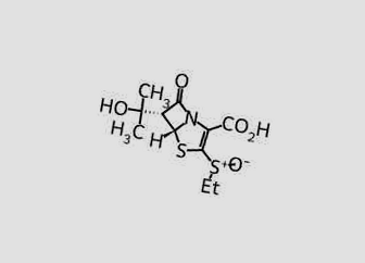 CC[S+]([O-])C1=C(C(=O)O)N2C(=O)[C@@H](C(C)(C)O)[C@H]2S1